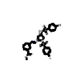 COC(=O)c1cccc(/C=C/[C@@H]2C[C@@H](NS(=O)(=O)c3ccc(Cl)cc3)CN2S(=O)(=O)c2ccc(Cl)cc2)c1